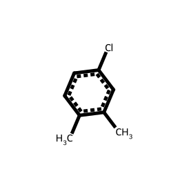 Cc1ccc(Cl)cc1C